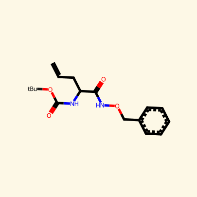 C=CCC(NC(=O)OC(C)(C)C)C(=O)NOCc1ccccc1